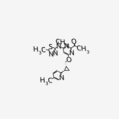 CC(=O)c1nc(OC[C@@H]2C[C@H]2c2ccc(C)cn2)cc(N(C)c2nnc(C)s2)n1